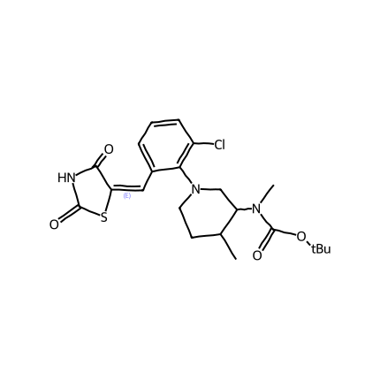 CC1CCN(c2c(Cl)cccc2/C=C2/SC(=O)NC2=O)CC1N(C)C(=O)OC(C)(C)C